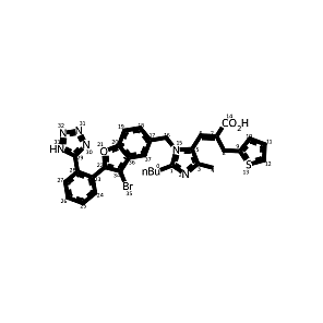 CCCCc1nc(C)c(C=C(Cc2cccs2)C(=O)O)n1Cc1ccc2oc(-c3ccccc3-c3nnn[nH]3)c(Br)c2c1